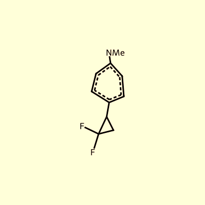 CNc1ccc(C2CC2(F)F)cc1